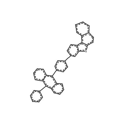 c1ccc(-c2c3ccccc3c(-c3ccc(-c4ccc5c(c4)sc4ccc6ccccc6c45)cc3)c3ccccc23)cc1